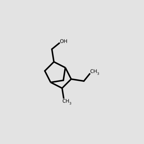 CCC1C(C)C2CC(CO)C1C2